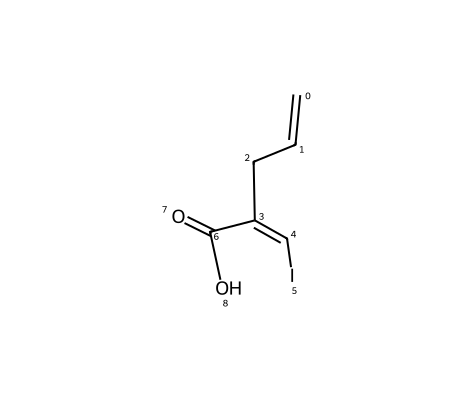 C=CCC(=CI)C(=O)O